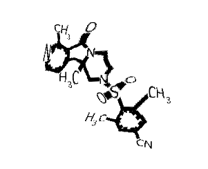 Cc1cc(C#N)cc(C)c1S(=O)(=O)N1CCN2C(=O)c3c(ccnc3C)C2(C)C1